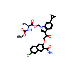 CC(C)[C@H](NC(=O)OC(C)(C)C)C(=O)OCn1cc(C(=O)COc2cc3ccc(Cl)cc3cc2C(N)=O)c2ccc(C3CC3)cc21